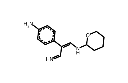 N=C/C(=C\NC1CCCCO1)c1ccc(N)cc1